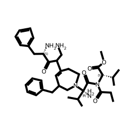 CCC(=O)N(C(=O)[C@@](N)(C(C)C)N1CCC(C(CN)C(=O)[C@@H](N)Cc2ccccc2)=CC(Cc2ccccc2)C1)[C@H](C(=O)OC)C(C)C